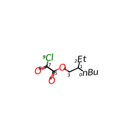 CCCCC(CC)COC(=O)C(=O)Cl